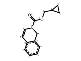 O=C(OCC1CC1)N1C=Cc2ccccc2C1